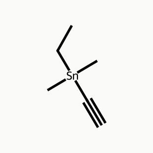 C#[C][Sn]([CH3])([CH3])[CH2]C